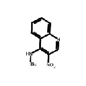 CC(C)(C)Nc1c([N+](=O)[O-])cnc2ccccc12